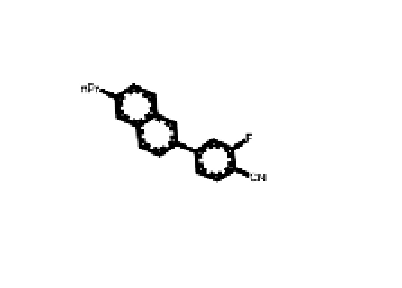 CCCc1ccc2cc(-c3ccc(C#N)c(F)c3)ccc2c1